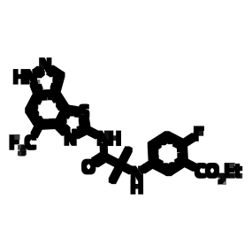 CCOC(=O)c1cc(NC(C)(C)C(=O)Nc2nc3c(C(F)(F)F)cc4[nH]ncc4c3s2)ccc1F